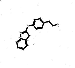 BrCCc1ccc(OC2=Nc3ccccc3C2)cc1